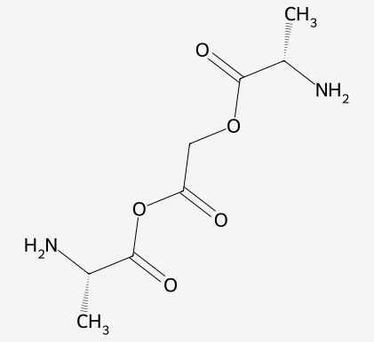 C[C@H](N)C(=O)OCC(=O)OC(=O)[C@H](C)N